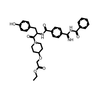 CCOC(=O)COC1CCN(C(=O)C(Cc2ccc(O)cc2)NC(=O)c2ccc(C(=N)NC(=O)c3ccccc3)cc2)CC1